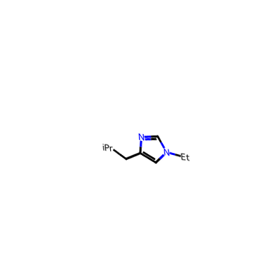 CCn1cnc(CC(C)C)c1